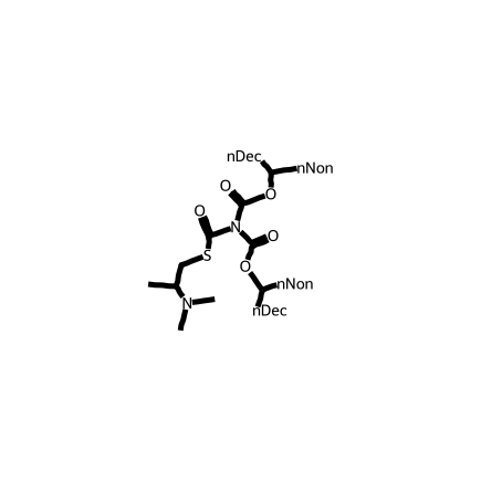 CCCCCCCCCCC(CCCCCCCCC)OC(=O)N(C(=O)OC(CCCCCCCCC)CCCCCCCCCC)C(=O)SCC(C)N(C)C